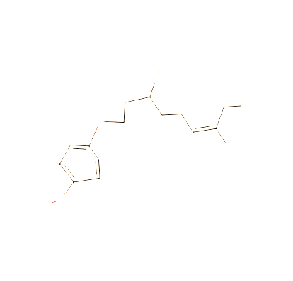 CCC(C)=CCCC(C)CCOc1ccc(OC)cc1